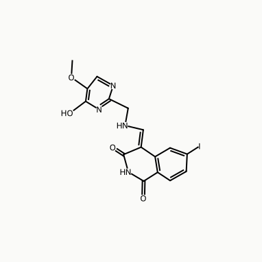 COc1cnc(CNC=C2C(=O)NC(=O)c3ccc(I)cc32)nc1O